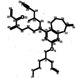 C=CC[C@@H](CCCC)COc1nc2c(c(N(CCCC(=C)C(=O)C=C)CC(C)CC#N)n1)CCCC(=C)C2